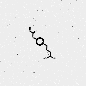 C=CC(=O)Oc1ccc(CCCC(CCC)CCC)cc1